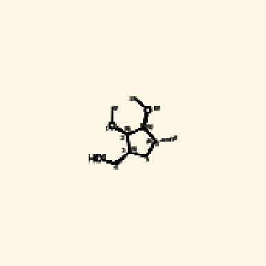 CO[C@@H]1[C@H](CO)C[C@@H](C)[C@@H]1OC